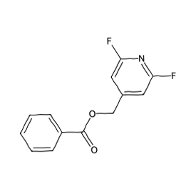 O=C(OCc1cc(F)nc(F)c1)c1ccccc1